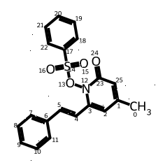 Cc1cc(/C=C/c2ccccc2)n(OS(=O)(=O)c2ccccc2)c(=O)c1